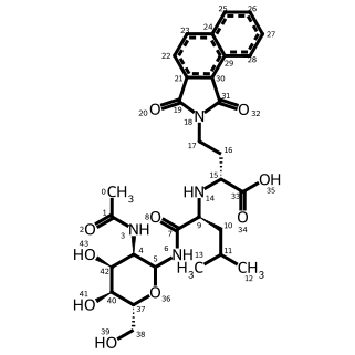 CC(=O)N[C@H]1C(NC(=O)[C@H](CC(C)C)N[C@H](CCN2C(=O)c3ccc4ccccc4c3C2=O)C(=O)O)O[C@H](CO)[C@@H](O)[C@H]1O